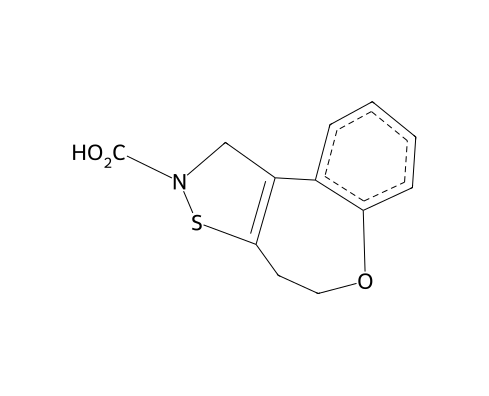 O=C(O)N1CC2=C(CCOc3ccccc32)S1